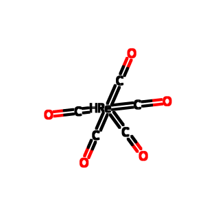 O=[C]=[ReH](=[C]=O)(=[C]=O)(=[C]=O)=[C]=O